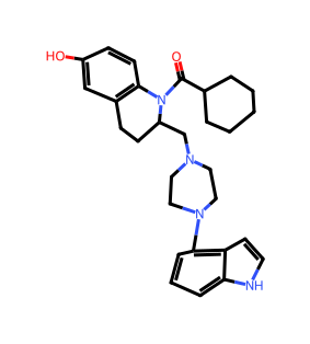 O=C(C1CCCCC1)N1c2ccc(O)cc2CCC1CN1CCN(c2cccc3[nH]ccc23)CC1